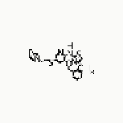 Cc1csc(Nc2ncc(SCCn3ccnc3)cc2OCc2ccccc2)n1